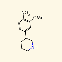 COc1cc(C2CCCNC2)ccc1[N+](=O)[O-]